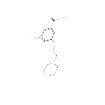 COC(=O)c1cc(OCCN2CCOCC2)cc(C(F)(F)F)c1